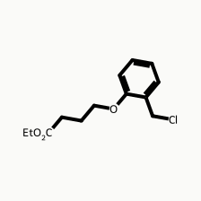 CCOC(=O)CCCOc1ccccc1CCl